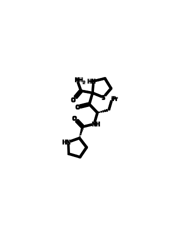 CC(C)C[C@H](NC(=O)[C@@H]1CCCN1)C(=O)C1(C(N)=O)NCCS1